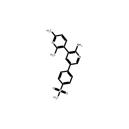 Cc1ccc(-c2cc(-c3ccc(S(C)(=O)=O)cc3)cnc2N)c(C)n1